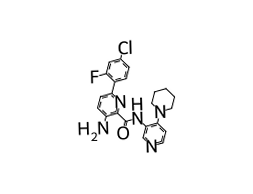 Nc1ccc(-c2ccc(Cl)cc2F)nc1C(=O)Nc1cnccc1N1CCCCC1